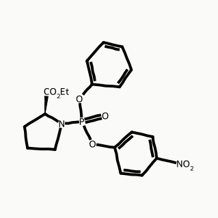 CCOC(=O)[C@@H]1CCCN1P(=O)(Oc1ccccc1)Oc1ccc([N+](=O)[O-])cc1